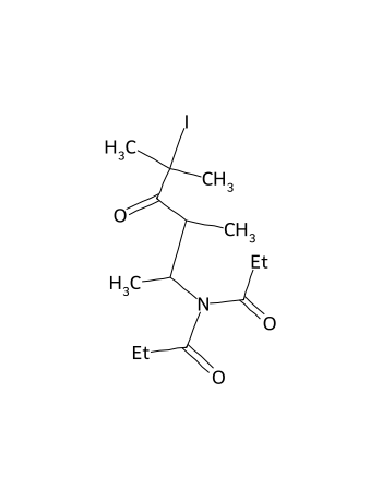 CCC(=O)N(C(=O)CC)C(C)C(C)C(=O)C(C)(C)I